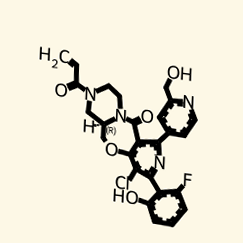 C=CC(=O)N1CCN2C(=O)c3c(-c4ccnc(CO)c4)nc(-c4c(O)cccc4F)c(Cl)c3OC[C@H]2C1